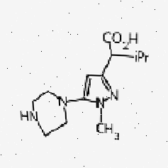 CC(C)C(C(=O)O)c1cc(N2CCNCC2)n(C)n1